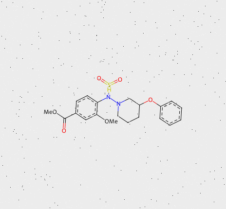 COC(=O)c1ccc(N(N2CCCC(Oc3ccccc3)C2)[SH](=O)=O)c(OC)c1